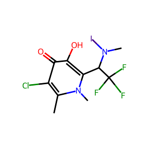 Cc1c(Cl)c(=O)c(O)c(C(N(C)I)C(F)(F)F)n1C